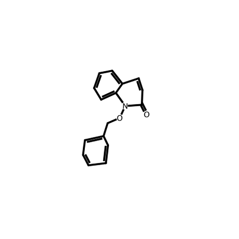 O=c1ccc2ccccc2n1OCc1ccccc1